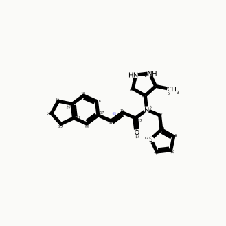 CC1NNCC1N(Cc1cccs1)C(=O)/C=C/c1ccc2c(c1)CCC2